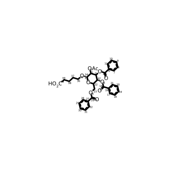 CC(=O)OC1C(OC(=O)c2ccccc2)[C@@H](OC(=O)c2ccccc2)C(COC(=O)c2ccccc2)O[C@H]1OCCCCC(=O)O